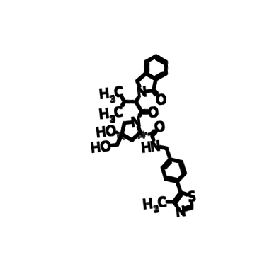 Cc1ncsc1-c1ccc(CNC(=O)[C@@H]2C[C@@](O)(CO)CN2C(=O)C(C(C)C)N2Cc3ccccc3C2=O)cc1